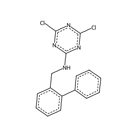 Clc1nc(Cl)nc(NCc2ccccc2-c2ccccc2)n1